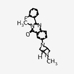 CN1CC2[C@H]1CN2c1ccc2nc(-c3ccccc3F)n(C)c(=O)c2c1